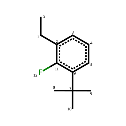 CCc1cccc(C(C)(C)C)c1F